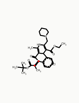 CCOC(=O)C1=C(C)NC(CN2CCCCC2)=C(C(=O)OCC)C1c1ccccc1C=CC(=O)OC(C)(C)C.Cl